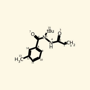 C=CC(=O)NN(C(=O)c1cccc(C)c1)C(C)(C)C